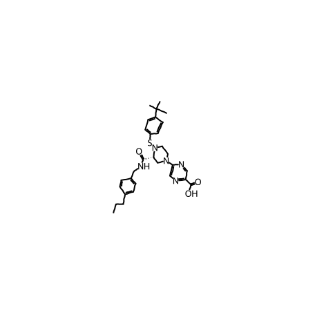 CCCc1ccc(CNC(=O)[C@H]2CN(c3cnc(C(=O)O)cn3)CCN2Sc2ccc(C(C)(C)C)cc2)cc1